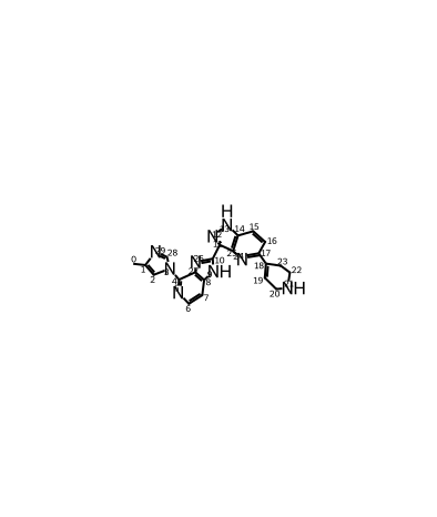 Cc1cn(-c2nccc3[nH]c(-c4n[nH]c5ccc(C6=CCNCC6)nc45)nc23)cn1